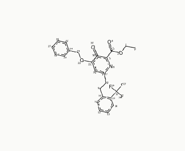 CCOC(=O)c1nn(CCc2ccccc2C(F)(F)F)cc(OCc2ccccc2)c1=O